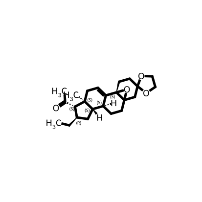 CC[C@@H]1C[C@H]2[C@@H]3CCC45CC6(CC[C@]4(O5)C3=CC[C@]2(C)[C@H]1C(C)=O)OCCO6